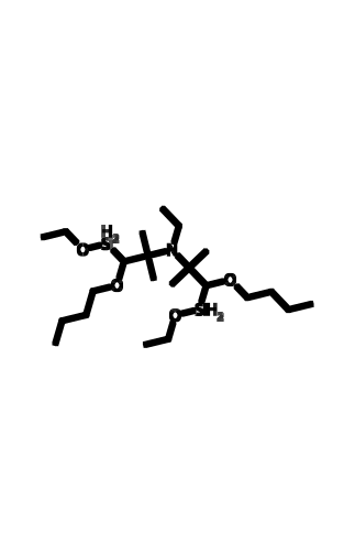 CCCCOC([SiH2]OCC)C(C)(C)N(CC)C(C)(C)C(OCCCC)[SiH2]OCC